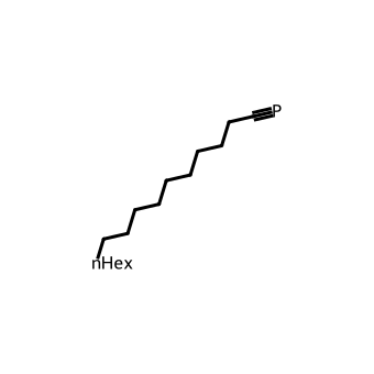 CCCCCCCCCCCCCCCC#P